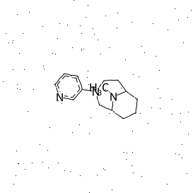 CN1C2CCCC1CN(c1cccnc1)CC2